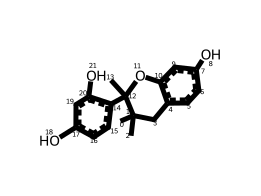 CC1(C)Cc2ccc(O)cc2OC1(C)c1ccc(O)cc1O